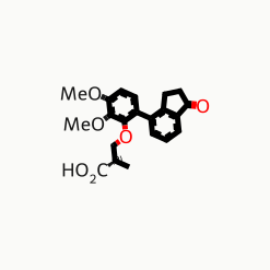 COc1ccc(-c2cccc3c2CCC3=O)c(OC[C@@H](C)C(=O)O)c1OC